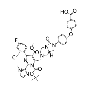 COC(=O)C1=C(CN2CCN3C(=O)N(c4ccc(Oc5ccc(C(=O)O)cc5)cc4)C[C@@H]3C2)N(C(=O)OC(C)(C)C)C(c2nccn2C)=NC1c1ccc(F)cc1Cl